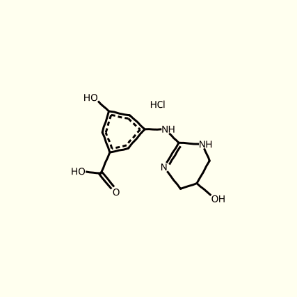 Cl.O=C(O)c1cc(O)cc(NC2=NCC(O)CN2)c1